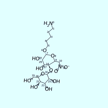 NCCCCCO[C@@H]1OC(C[N+](=O)[O-])[C@@H](O[C@@H]2OC(CO)[C@H](O)C(O)[C@@H]2O)C(O)[C@@H]1O